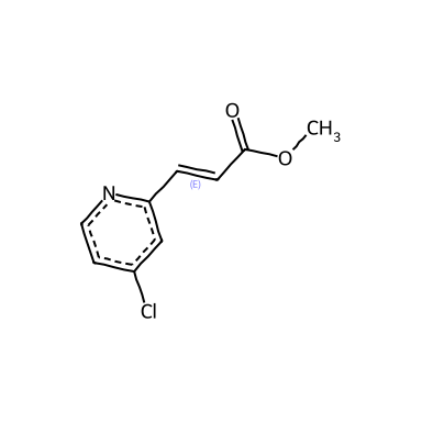 COC(=O)/C=C/c1cc(Cl)ccn1